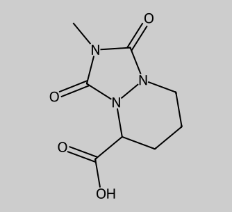 Cn1c(=O)n2n(c1=O)C(C(=O)O)CCC2